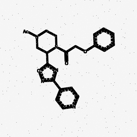 CC(=O)N1CCN(C(=O)COc2ccccc2)C(c2nc(-c3ccncc3)no2)C1